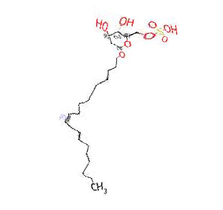 CCCCCCCC/C=C\CCCCCCCCO[C@@H]1C[C@@H](O)[C@H](O)[C@@H](COS(=O)(=O)O)O1